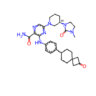 CN1CCN([C@@H]2CCCN(c3cnc(C(N)=O)c(Nc4ccc(C5CCC6(CC5)CC(=O)C6)cc4)n3)C2)C1=O